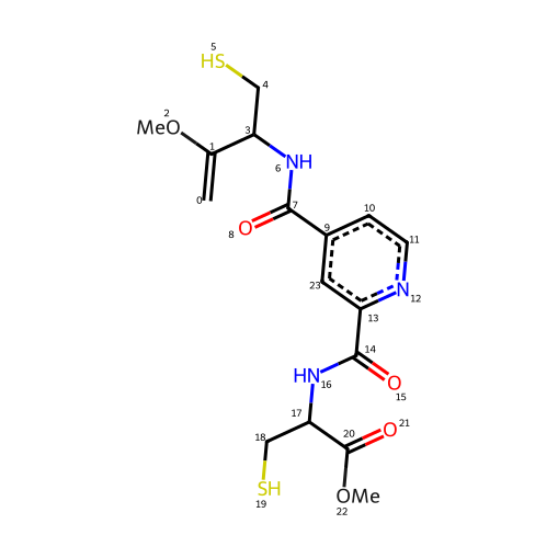 C=C(OC)C(CS)NC(=O)c1ccnc(C(=O)NC(CS)C(=O)OC)c1